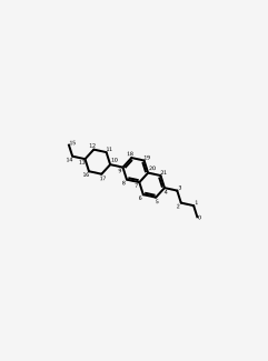 CCCCc1ccc2cc(C3CCC(CC)CC3)ccc2c1